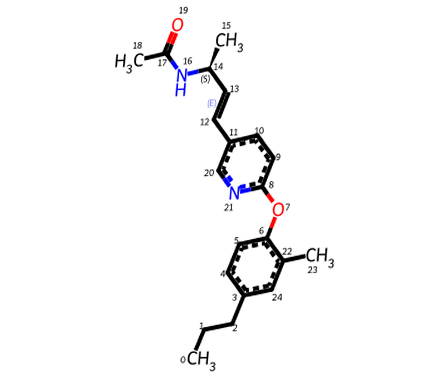 CCCc1ccc(Oc2ccc(/C=C/[C@H](C)NC(C)=O)cn2)c(C)c1